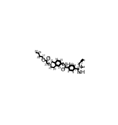 C#CCN(C)C(=N)c1ccc(C(=O)Nc2ccc3c(c2)CCN(CC(=O)OCCCC)C3)cc1